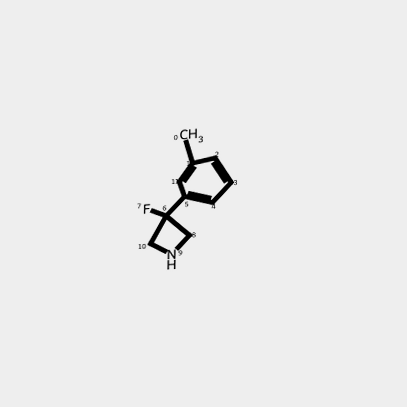 Cc1cccc(C2(F)CNC2)c1